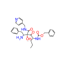 CC[C@H](C)[C@H](NC(=O)OCc1ccccc1)C(=O)[C@@](O)(C(=O)NCc1ccncc1)[C@@H](N)Cc1ccccc1